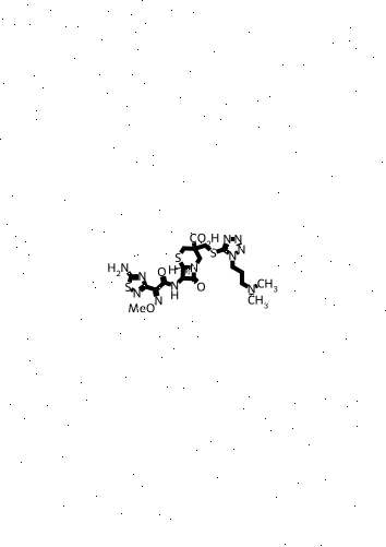 CON=C(C(=O)NC1C(=O)N2CC(CSc3nnnn3CCCN(C)C)(C(=O)O)CS[C@H]12)c1nsc(N)n1